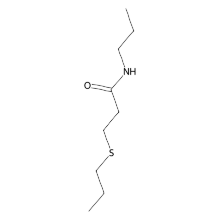 CCCNC(=O)CCSCCC